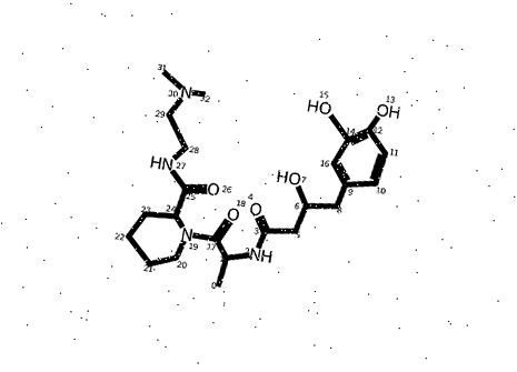 CC(NC(=O)CC(O)Cc1ccc(O)c(O)c1)C(=O)N1CCCCC1C(=O)NCCN(C)C